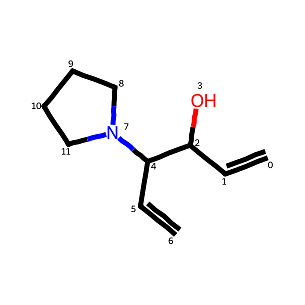 C=CC(O)C(C=C)N1CCCC1